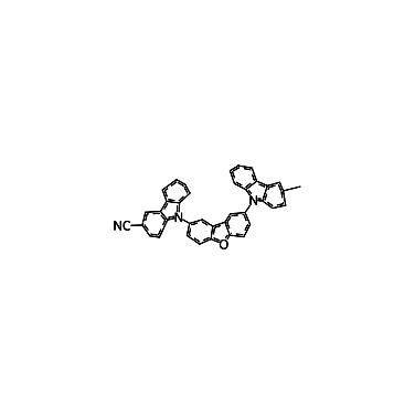 Cc1ccc2c(c1)c1ccccc1n2-c1ccc2oc3ccc(-n4c5ccccc5c5cc(C#N)ccc54)cc3c2c1